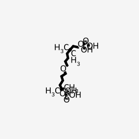 CC(C)(CCCCOCCCCC(C)(C)OP(=O)(O)O)CCOP(=O)(O)O